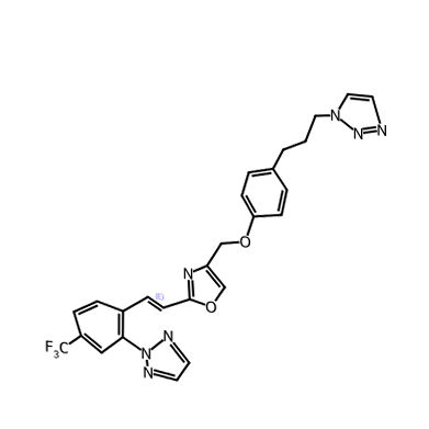 FC(F)(F)c1ccc(/C=C/c2nc(COc3ccc(CCCn4ccnn4)cc3)co2)c(-n2nccn2)c1